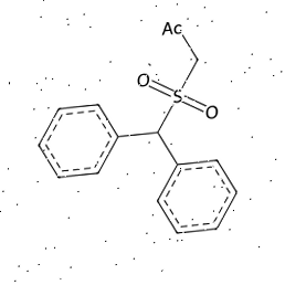 CC(=O)CS(=O)(=O)C(c1ccccc1)c1ccccc1